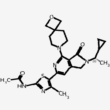 CC(=O)Nc1nc(C)c(-c2cc3c(c(N4CCC5(CC4)COC5)n2)C(=O)N([C@@H](C)C2CC2)C3)s1